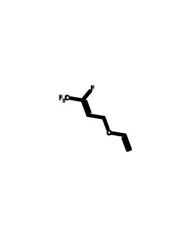 C=COCC=C(F)C(F)(F)F